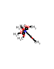 C=CCOc1cc(OCC=C)c2c(=O)c(OCC=C)c(-c3ccc(OCC=C)c(OC)c3)n(CCCCCCCCCCCCCC)c2c1